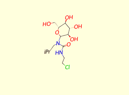 CC(C)CN(C(=O)NCCCl)C1O[C@H](CO)[C@@H](O)[C@H](O)[C@H]1O